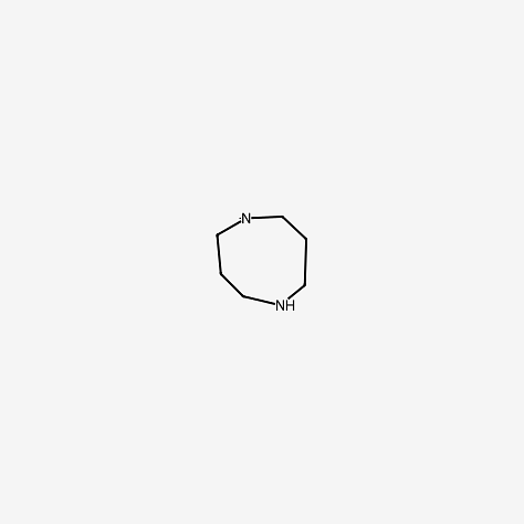 C1C[N]CCCNC1